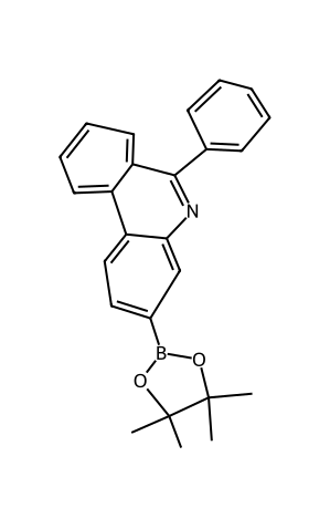 CC1(C)OB(c2ccc3c(c2)nc(-c2ccccc2)c2ccccc23)OC1(C)C